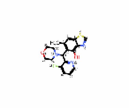 Cc1cc2scnc2c(O)c1C(c1ncccc1F)N1CCOCC1